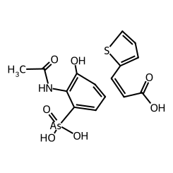 CC(=O)Nc1c(O)cccc1[As](=O)(O)O.O=C(O)/C=C\c1cccs1